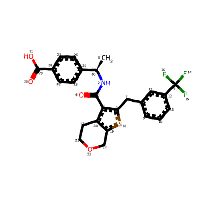 C[C@@H](NC(=O)c1c(Cc2cccc(C(F)(F)F)c2)sc2c1CCOC2)c1ccc(C(=O)O)cc1